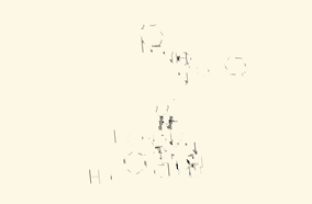 Cc1cc(C)c(S(=O)(=O)N[C@](CC2=NOC3(C2)CC(CNc2ccccn2)N(C(=O)OCc2ccccc2)C3)(N=C=O)C(=O)O)c(C)c1